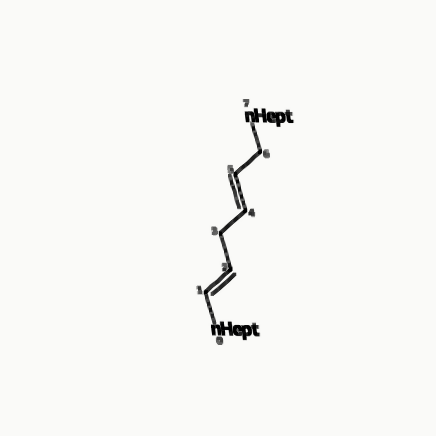 CCCCCCCC=CCC=CCCCCCCCC